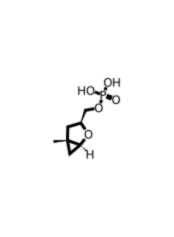 C[C@@]12C[C@@H](COP(=O)(O)O)O[C@H]1C2